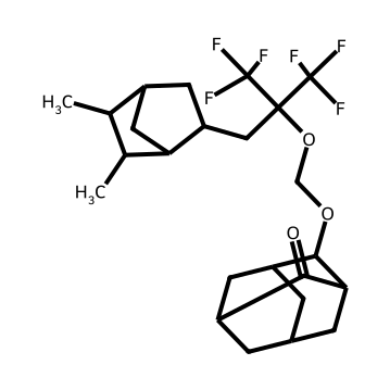 CC1C2CC(CC(OCOC3C4CC5CC(C4)C(=O)C3C5)(C(F)(F)F)C(F)(F)F)C(C2)C1C